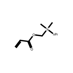 C=CC(=O)OC[Si](C)(C)CCC